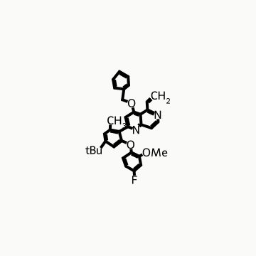 C=Cc1nccc2nc(-c3c(C)cc(C(C)(C)C)cc3Oc3ccc(F)cc3OC)cc(OCc3ccccc3)c12